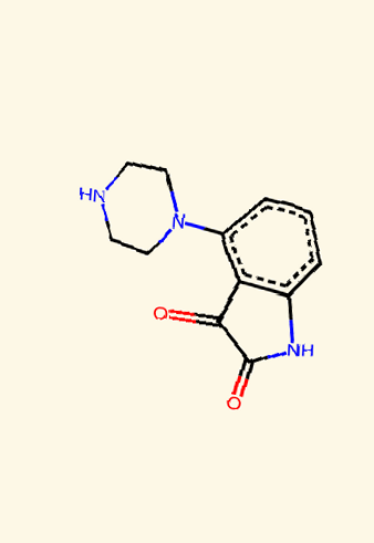 O=C1Nc2cccc(N3CCNCC3)c2C1=O